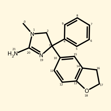 CN1CC(c2ccccc2)(c2ccc3c(c2)CCO3)N=C1N